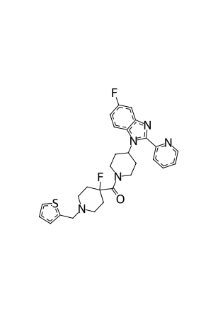 O=C(N1CCC(n2c(-c3ccccn3)nc3cc(F)ccc32)CC1)C1(F)CCN(Cc2cccs2)CC1